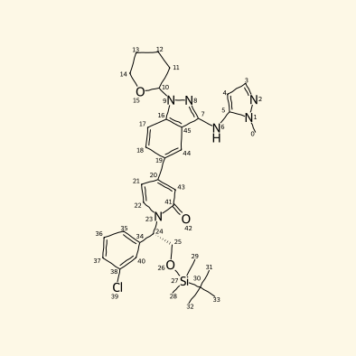 Cn1nccc1Nc1nn(C2CCCCO2)c2ccc(-c3ccn([C@H](CO[Si](C)(C)C(C)(C)C)c4cccc(Cl)c4)c(=O)c3)cc12